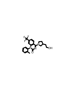 Cc1ccccc1-n1c(=O)nc(N2CCC(CCO)C2)c2ccc(C(F)(F)F)cc21